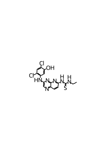 CCNC(=S)Nc1ccc2ncc(Nc3cc(O)c(Cl)cc3Cl)nc2n1